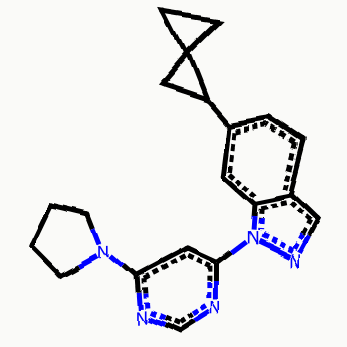 c1nc(N2CCCC2)cc(-n2ncc3ccc(C4CC45CC5)cc32)n1